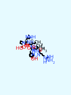 CC[C@H](C)[C@H](NC(=O)[C@H](Cc1ccc(O)cc1)NC(=O)[C@@H](NC(=O)[C@@H](N)CCCNC(=N)N)C(C)C)C(=O)N[C@@H](Cc1c[nH]cn1)C(=O)N1CCC[C@H]1C(=O)O